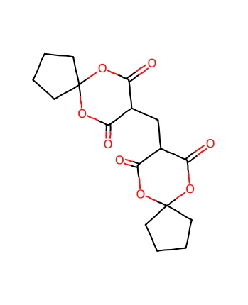 O=C1OC2(CCCC2)OC(=O)C1CC1C(=O)OC2(CCCC2)OC1=O